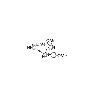 COCc1nnc2n1Cc1c(C#Cc3c[nH]nc3OC)ncn1-c1ccc(OC)cc1-2